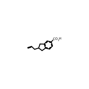 C=CCC1Cc2ccc(C(=O)O)cc2C1